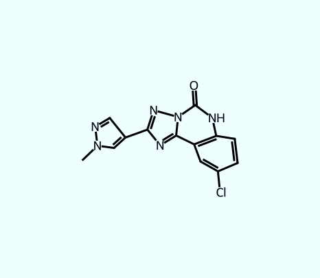 Cn1cc(-c2nc3c4cc(Cl)ccc4[nH]c(=O)n3n2)cn1